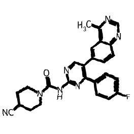 Cc1ncnc2ccc(-c3cnc(NC(=O)N4CCC(C#N)CC4)nc3-c3ccc(F)cc3)cc12